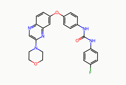 O=C(Nc1ccc(F)cc1)Nc1ccc(Oc2ccc3ncc(N4CCOCC4)nc3c2)cc1